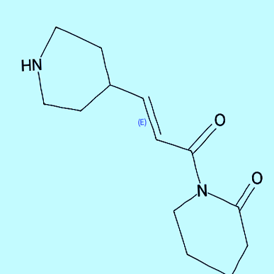 O=C(/C=C/C1CCNCC1)N1CCCCC1=O